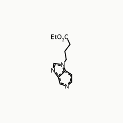 CCOC(=O)CCCn1cnc2cnccc21